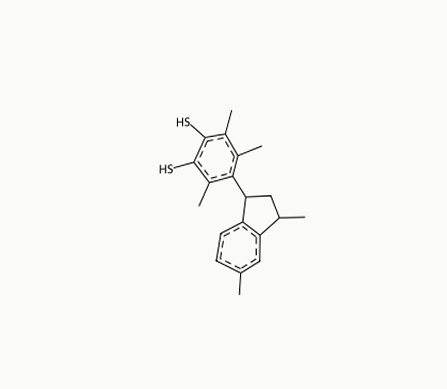 Cc1ccc2c(c1)C(C)CC2c1c(C)c(C)c(S)c(S)c1C